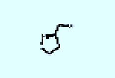 OCC1=NSCC1